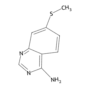 CSc1ccc2c(N)ncnc2c1